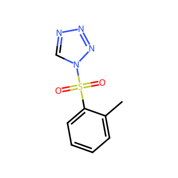 Cc1ccccc1S(=O)(=O)n1cnnn1